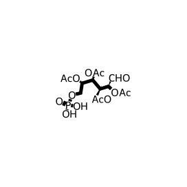 CC(=O)O[C@@H]([C@H](OC(C)=O)[C@@H](COP(=O)(O)O)OC(C)=O)[C@H](C=O)OC(C)=O